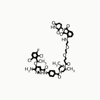 C[C@@H]1CN(C(=O)c2ccc(NC(=O)c3cc(O[C@H](C)c4c(Cl)ccc(F)c4Cl)c(N)nn3)cc2)C[C@H](C)N1C(=O)CCOCCOCCNc1cccc2c1C(=O)N(C1CCC(=O)NC1=O)C2=O